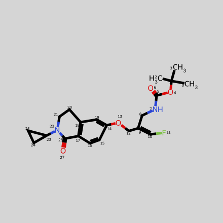 CC(C)(C)OC(=O)NC/C(=C\F)COc1ccc2c(c1)CCN(C1CC1)C2=O